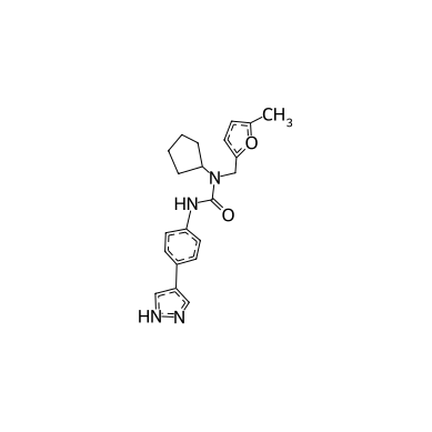 Cc1ccc(CN(C(=O)Nc2ccc(-c3cn[nH]c3)cc2)C2CCCC2)o1